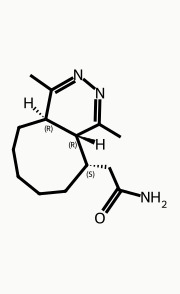 CC1=NN=C(C)[C@@H]2CCCCC[C@@H](CC(N)=O)[C@@H]12